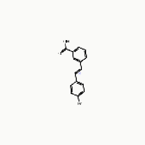 O=C(O)c1cccc(/C=C/c2ccc(Br)cc2)c1